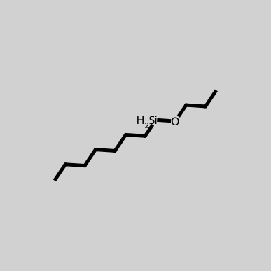 CCCCCCC[SiH2]OCCC